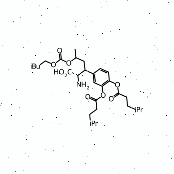 CCC(C)COC(=O)OC(C)CC(c1ccc(OC(=O)CCC(C)C)c(OC(=O)CCC(C)C)c1)[C@H](N)C(=O)O